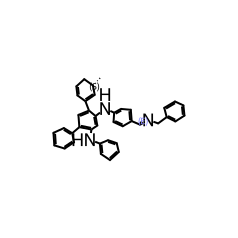 C[C@@H]1C=C(c2cc(-c3ccccc3)c(Nc3ccccc3)cc2Nc2ccc(/C=N/Cc3ccccc3)cc2)C=CC1